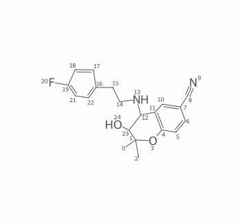 CC1(C)Oc2ccc(C#N)cc2C(NCCc2ccc(F)cc2)C1O